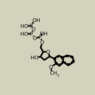 COc1cc2ccccc2cc1C1CC(O)C(COP(O)OP(O)OP(O)O)O1